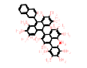 Bc1c(B)c(B)c(-c2c(B)c(B)c(-c3c4c(B)c(B)c(B)c(B)c4c(-c4ccc5ccccc5c4)c4c(B)c(B)c(B)c(B)c34)c3c(B)c(B)c(B)c(B)c23)c(B)c1B